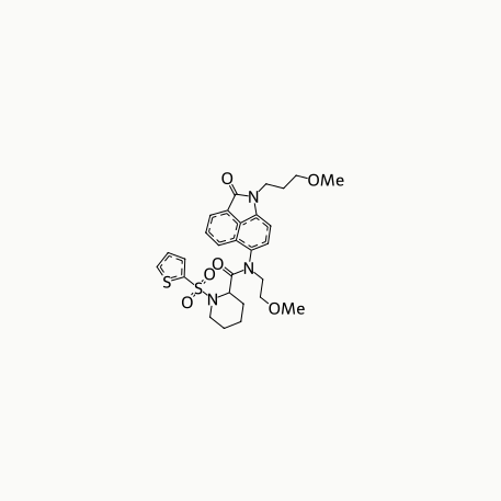 COCCCN1C(=O)c2cccc3c(N(CCOC)C(=O)C4CCCCN4S(=O)(=O)c4cccs4)ccc1c23